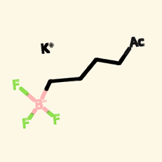 CC(=O)CCCC[B-](F)(F)F.[K+]